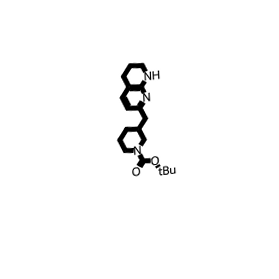 CC(C)(C)OC(=O)N1CCCC(Cc2ccc3c(n2)NCCC3)C1